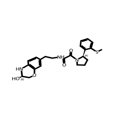 CSc1ccccc1[C@H]1CCCN1C(=O)C(=O)NCCc1ccc2c(c1)OC[C@@H](O)N2